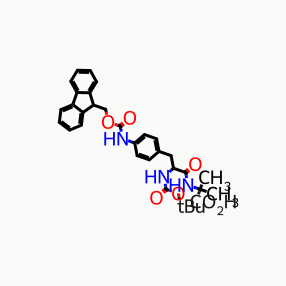 CC(C)(C)OC(=O)NC(Cc1ccc(NC(=O)OCC2c3ccccc3-c3ccccc32)cc1)C(=O)NC(C)(C)C(=O)O